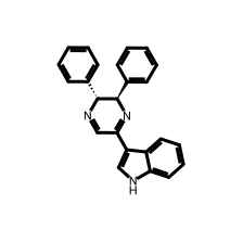 C1=N[C@H](c2ccccc2)[C@@H](c2ccccc2)N=C1c1c[nH]c2ccccc12